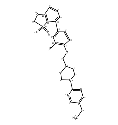 CCc1cnc(N2CCC(COc3ccc(-c4cccc5c4S(=O)(=O)CO5)cc3F)CC2)nc1